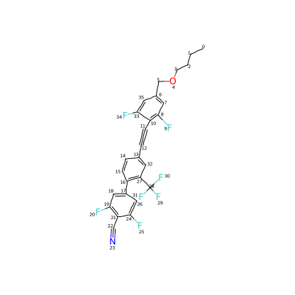 CCCCOCc1cc(F)c(C#Cc2ccc(-c3cc(F)c(C#N)c(F)c3)c(C(F)(F)F)c2)c(F)c1